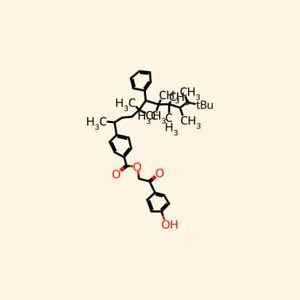 CC(CCC(C)(C)C(c1ccccc1)C(C)(C)C(C)(C)C(C)C(C)C(C)(C)C)c1ccc(C(=O)OCC(=O)c2ccc(O)cc2)cc1